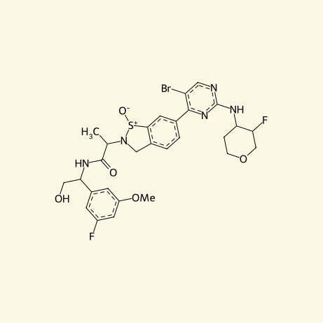 COc1cc(F)cc(C(CO)NC(=O)C(C)N2Cc3ccc(-c4nc(NC5CCOCC5F)ncc4Br)cc3[S+]2[O-])c1